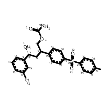 NC(=O)OCC(C[C@@H](O)c1cccc(Cl)c1)c1ccc(S(=O)(=O)c2ccc(O)cc2)cc1